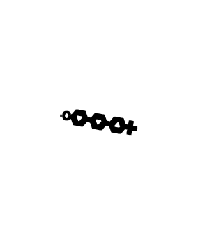 CC(C)(C)c1ccc(-c2ccc(-c3ccc([O])cc3)cc2)cc1